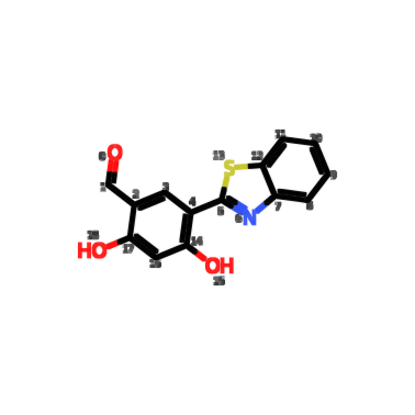 O=Cc1cc(-c2nc3ccccc3s2)c(O)cc1O